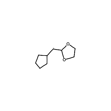 [CH](C1CCCC1)C1OCCO1